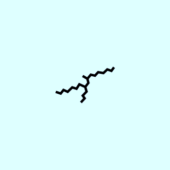 CCCCCCCC(C)CC(CCCC)CCCCCCC